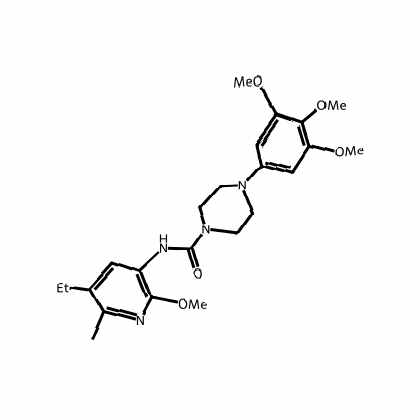 CCc1cc(NC(=O)N2CCN(c3cc(OC)c(OC)c(OC)c3)CC2)c(OC)nc1C